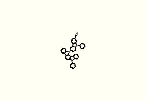 N#Cc1ccc2c3cc(-n4c5ccccc5c5ccc6c(c7ccccc7n6-c6ccccc6)c54)ccc3n(-c3ccccc3)c2c1